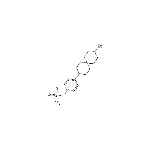 CCC1CCC2(CC1)CCC(c1ccc(OS(=O)(=O)C(F)(F)F)cc1)CC2